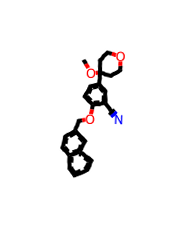 COC1(c2ccc(OCc3ccc4ccccc4c3)c(C#N)c2)CCOCC1